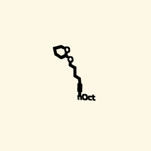 CCCCCCCCC#CCCCCOC1CCCCO1